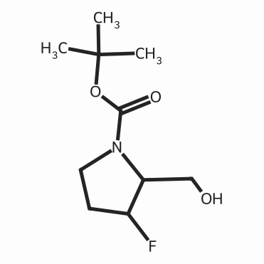 CC(C)(C)OC(=O)N1CCC(F)C1CO